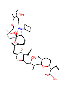 CCC(C(=O)O)[C@H]1CC[C@H](C)C([C@@H](C)[C@H](O)[C@H](C)C(=O)[C@H](CC)[C@H]2O[C@]3(C=C[C@@H](NC4CCC4)[C@]4(CC[C@@](C)([C@H]5CC[C@](O)(CC)[C@H](C)O5)O4)O3)[C@H](C)C[C@@H]2C)O1